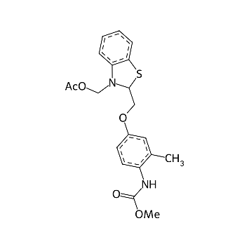 COC(=O)Nc1ccc(OCC2Sc3ccccc3N2COC(C)=O)cc1C